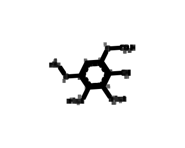 CCCCCCCc1c(OCCCC)cc(OC(=O)O)c(O)c1CCCCCCC